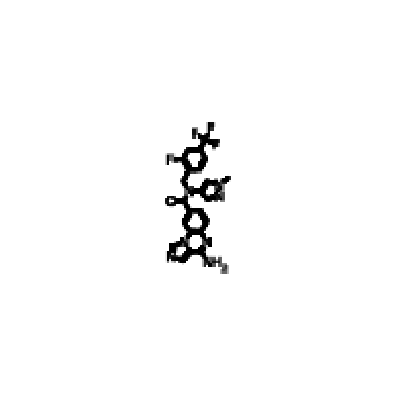 Cn1cc(N(Cc2ccc(C(F)(F)F)cc2F)C(=O)c2ccc3nc(N)c4cncn4c3c2)cn1